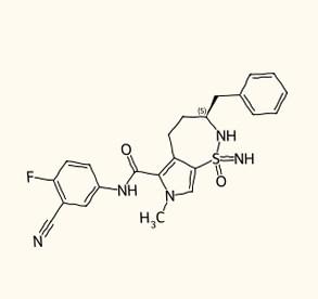 Cn1cc2c(c1C(=O)Nc1ccc(F)c(C#N)c1)CC[C@@H](Cc1ccccc1)NS2(=N)=O